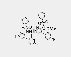 COc1cc(F)ccc1-c1c[nH]nc1NS(=O)(=O)c1ccccc1.Cc1ccc(-c2c[nH]nc2NS(=O)(=O)c2ccccc2)c(C)c1